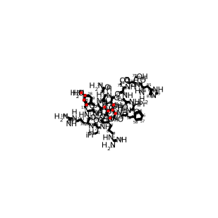 CC(C)C[C@H](NC(=O)[C@H](CCCNC(=N)N)NC(=O)[C@@H](NC(=O)[C@H](Cc1ccc(O)cc1)NC(=O)[C@H](CC(N)=O)NC(=O)[C@H](CC(=O)O)NC(=O)[C@@H](NC(=O)[C@H](Cc1ccccc1)NC(=O)[C@@H](NC(=O)[C@H](C)NC(=O)[C@H](CC(=O)O)NC(=O)[C@H](CO)NC(=O)[C@@H](N)Cc1cnc[nH]1)C(C)C)[C@@H](C)O)[C@@H](C)O)C(=O)N[C@@H](CCCNC(=N)N)C(=O)N[C@@H](CCCCN)C(N)=O